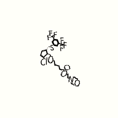 O=C(CCCCOC[C@H]1C(Cl)CC[C@@H]1CSc1cc(C(F)(F)F)cc(C(F)(F)F)c1)OCCN1CCOCC1